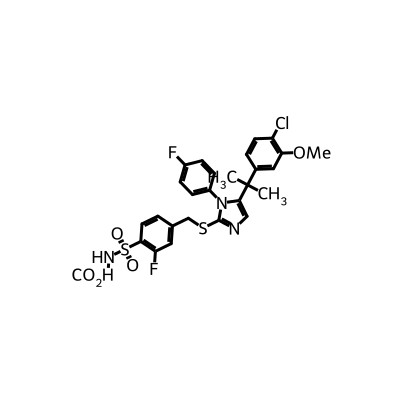 COc1cc(C(C)(C)c2cnc(SCc3ccc(S(=O)(=O)NC(=O)O)c(F)c3)n2-c2ccc(F)cc2)ccc1Cl